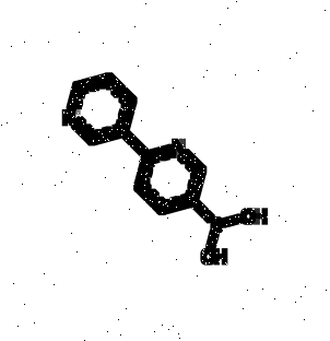 OB(O)c1ccc(-c2cccnc2)nc1